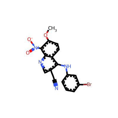 COc1ccc2c(Nc3cccc(Br)c3)c(C#N)cnc2c1[N+](=O)[O-]